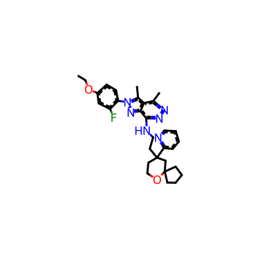 CCOc1ccc(-n2nc3c(NCCC4(c5ccccn5)CCOC5(CCCC5)C4)nnc(C)c3c2C)c(F)c1